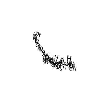 CCCOCCOCCOCCOCCOc1ccc(-c2ccc([C@H](CC(=O)O)NC(=O)CNC(=O)CCCNc3cc(C)ccn3)cc2)c2ocnc12